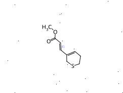 COC(=O)/C=C/C1=CCCSC1